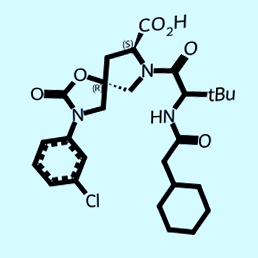 CC(C)(C)C(NC(=O)CC1CCCCC1)C(=O)N1C[C@]2(C[C@H]1C(=O)O)CN(c1cccc(Cl)c1)C(=O)O2